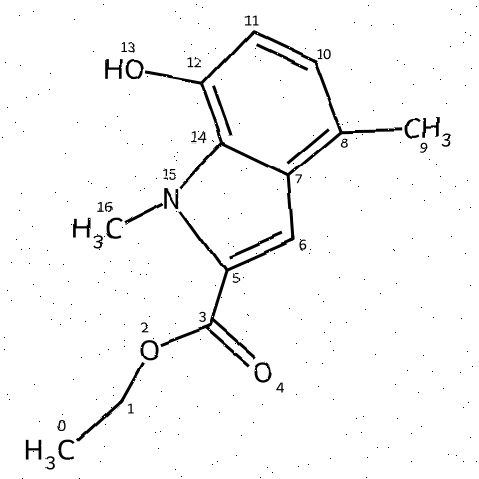 CCOC(=O)c1cc2c(C)ccc(O)c2n1C